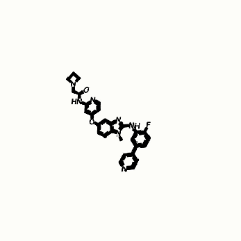 Cn1c(Nc2cc(-c3ccncc3)ccc2F)nc2cc(Oc3ccnc(NC(=O)CN4CCC4)c3)ccc21